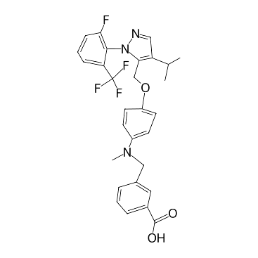 CC(C)c1cnn(-c2c(F)cccc2C(F)(F)F)c1COc1ccc(N(C)Cc2cccc(C(=O)O)c2)cc1